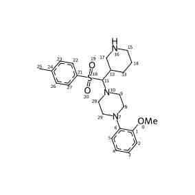 COc1ccccc1N1CCN(C(C2CCCNC2)S(=O)(=O)c2ccc(C)cc2)CC1